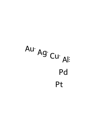 [Ag].[Al].[Au].[Cu].[Pd].[Pt]